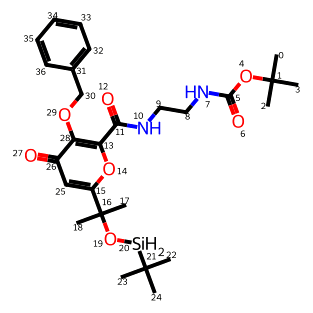 CC(C)(C)OC(=O)NCCNC(=O)c1oc(C(C)(C)O[SiH2]C(C)(C)C)cc(=O)c1OCc1ccccc1